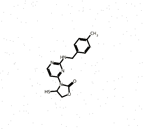 Cc1ccc(CNc2nccc(N3C(=O)OCC3S)n2)cc1